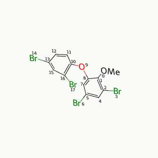 COc1c(Br)cc(Br)cc1Oc1ccc(Br)cc1Br